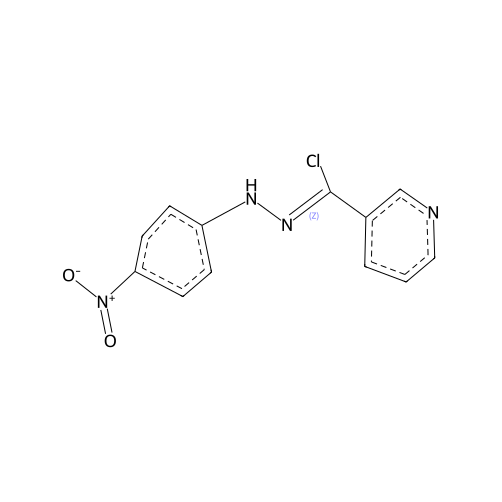 O=[N+]([O-])c1ccc(N/N=C(\Cl)c2cccnc2)cc1